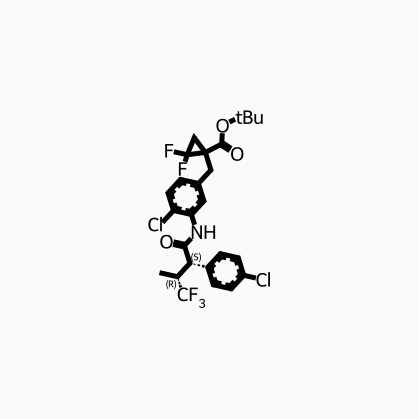 C[C@H]([C@H](C(=O)Nc1cc(CC2(C(=O)OC(C)(C)C)CC2(F)F)ccc1Cl)c1ccc(Cl)cc1)C(F)(F)F